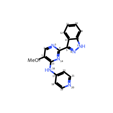 COc1cnc(-c2n[nH]c3ccccc23)nc1Nc1ccncc1